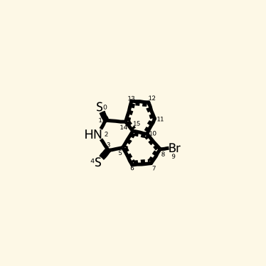 S=C1NC(=S)c2ccc(Br)c3cccc1c23